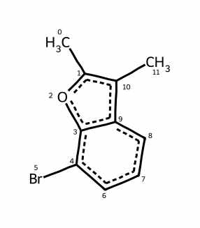 Cc1oc2c(Br)cccc2c1C